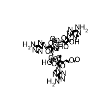 CO[C@H]1[C@@H](OP(=O)(O)OC[C@H]2O[C@@H](n3cnc4c(N)ncnc43)[C@H](OP(=O)(O)OC[C@H]3O[C@@H](n4cnc5c(N)ncnc54)[C@H](O)[C@@H]3O)[C@@H]2OC)[C@H](n2cnc3c(N)ncnc32)O[C@@H]1CCOC=O